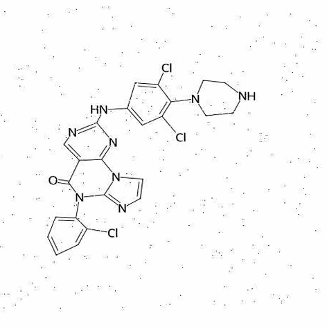 O=c1c2cnc(Nc3cc(Cl)c(N4CCNCC4)c(Cl)c3)nc2n2ccnc2n1-c1ccccc1Cl